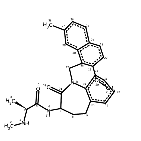 CN[C@@H](C)C(=O)NC1CCc2ccccc2N(Cc2c(OC)ccc3ccc(C)cc23)C1=O